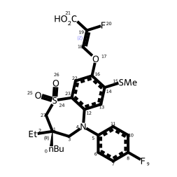 CCCC[C@]1(CC)CN(c2ccc(F)cc2)c2cc(SC)c(O/C=C(\F)C(=O)O)cc2S(=O)(=O)C1